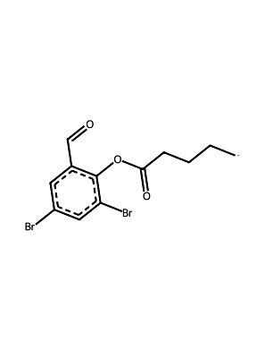 [CH2]CCCC(=O)Oc1c(Br)cc(Br)cc1C=O